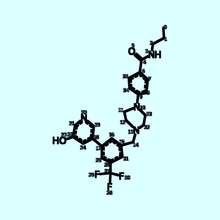 CCCNC(=O)c1ccc(N2CCN(Cc3cc(-c4cncc(O)c4)cc(C(F)(F)F)c3)CC2)cc1